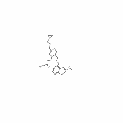 COc1ccc2nccc(CCCC3CCN(CCSC4CC4)CC3CCC(=O)O)c2c1